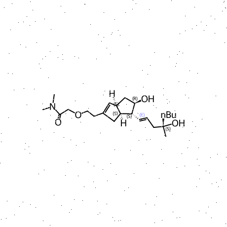 CCCC[C@](C)(O)C/C=C/[C@@H]1[C@H]2CC(CCOCC(=O)N(C)C)=C[C@H]2C[C@H]1O